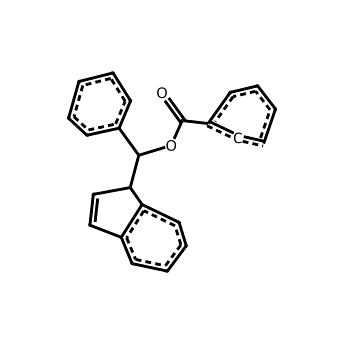 O=C(OC(c1ccccc1)C1C=Cc2ccccc21)c1ccccc1